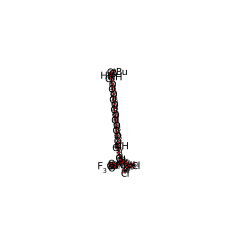 CC(C)(C)OC(=O)NNC(=O)CCOCCOCCOCCOCCOCCOCCOCCOCCOCCOCCOCCOCCNC(=O)CCCCCOc1cc(NC2CCN(S(=O)(=O)C(F)(F)F)CC2)c2cc(C(c3ccc(Cl)cc3)c3ccc(Cl)cc3)ccc2n1